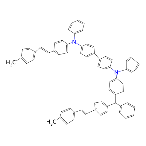 Cc1ccc(C=Cc2ccc(C(c3ccccc3)c3ccc(N(c4ccccc4)c4ccc(-c5ccc(N(c6ccccc6)c6ccc(C=Cc7ccc(C)cc7)cc6)cc5)cc4)cc3)cc2)cc1